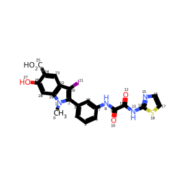 Cn1c(-c2cccc(NC(=O)C(=O)Nc3nccs3)c2)c(I)c2cc(C(=O)O)c(O)cc21